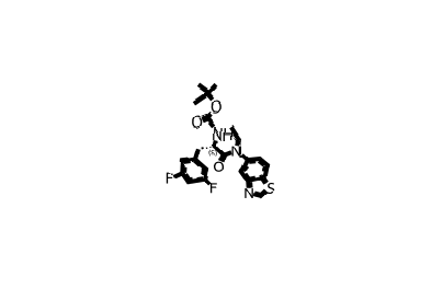 CCN(C(=O)[C@H](Cc1cc(F)cc(F)c1)NC(=O)OC(C)(C)C)c1ccc2scnc2c1